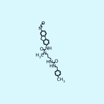 Cc1ccc(CNC(=O)NCCCN(C)C(=O)Nc2ccc3c(c2)Cc2cc(N=C=O)ccc2-3)cc1